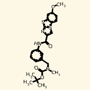 COc1ccc2c(c1)sc1nc(C(=O)Nc3cccc(CN(C)C(=O)OC(C)(C)C)c3)cn12